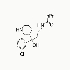 CCCC(=O)NCCCC(O)(c1cccc(Cl)c1)C1CCCNC1